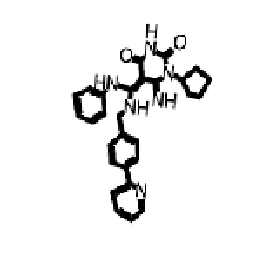 N=C1/C(=C(\NCc2ccc(-c3ccccn3)cc2)Nc2ccccc2)C(=O)NC(=O)N1C1CCCC1